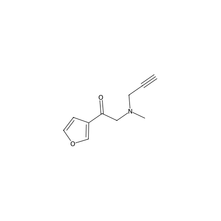 C#CCN(C)CC(=O)c1ccoc1